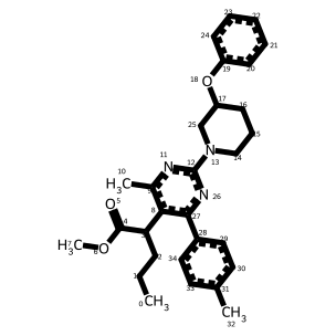 CCCC(C(=O)OC)c1c(C)nc(N2CCCC(Oc3ccccc3)C2)nc1-c1ccc(C)cc1